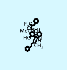 C=CC[N+]1(CCCCc2ccccc2)CC[C@@]23C4=C5C[C@@H]1[C@@H]2CCC[C@@H]3OC4C(NC(=O)C(=Cc1ccccc1)C(F)(F)F)(OC)C=C5O